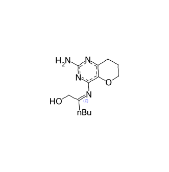 CCCC/C(CO)=N/c1nc(N)nc2c1OCCC2